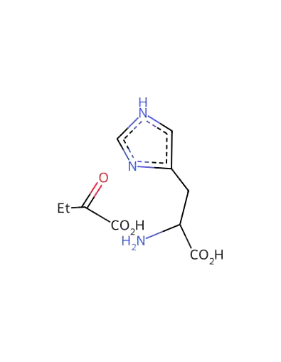 CCC(=O)C(=O)O.NC(Cc1c[nH]cn1)C(=O)O